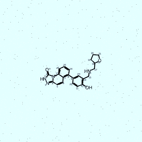 O=c1[nH]nc2ccc3c(-c4ccc(O)c(CNCC5CCCO5)c4)cccc3n12